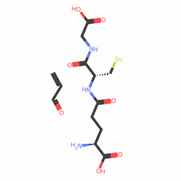 C=CC=O.N[C@@H](CCC(=O)N[C@@H](CS)C(=O)NCC(=O)O)C(=O)O